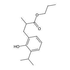 CCCOC(=O)C(C)Cc1cccc(C(C)C)c1O